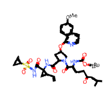 C=CC1CC1(NC(=O)C1CC(Oc2nccc3cc(OC)ccc23)CN1C(=O)C(CCC(=O)C=C(C)C)NC(=O)OC(C)(C)C)C(=O)NS(=O)(=O)C1CC1